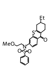 CCC1CCc2c(sc3cc(N(CCOC)S(=O)(=O)c4ccccc4)ccc3c2=O)C1